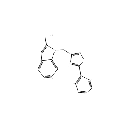 O=C(O)c1cc2ccccc2n1Cc1coc(-c2ccccc2)n1